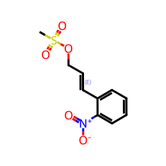 CS(=O)(=O)OC/C=C/c1ccccc1[N+](=O)[O-]